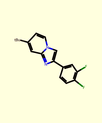 CC(C)(C)c1ccn2cc(-c3ccc(F)c(F)c3)nc2c1